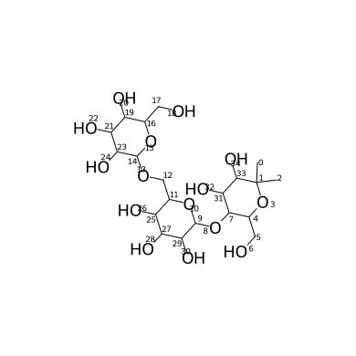 CC1(C)OC(CO)C(OC2OC(COC3OC(CO)C(O)C(O)C3O)C(O)C(O)C2O)C(O)C1O